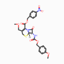 COCC1=C(C(=O)OCc2ccc([N+](=O)[O-])cc2)N2C(=O)[C@@H](NC(=O)OCc3ccc(OC)cc3)[C@@H]2SC1